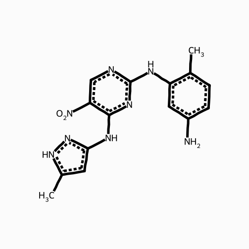 Cc1cc(Nc2nc(Nc3cc(N)ccc3C)ncc2[N+](=O)[O-])n[nH]1